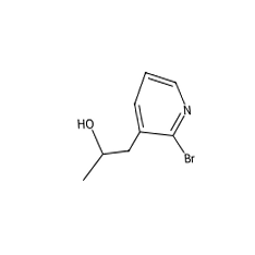 CC(O)Cc1cccnc1Br